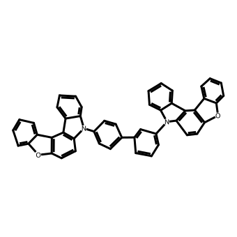 c1cc(-c2ccc(-n3c4ccccc4c4c5c(ccc43)oc3ccccc35)cc2)cc(-n2c3ccccc3c3c4c(ccc32)oc2ccccc24)c1